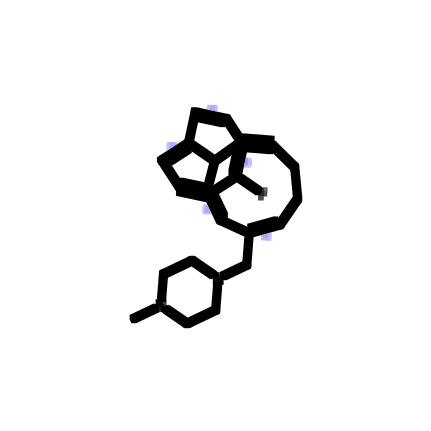 CC1=C(\F)C#C/C=C(C2C#CCC/C=C(CN3CCN(C)CC3)\C=C/2)/C=C\1